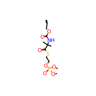 C=CCOC(=O)NC(C)(C)C(=O)SCCOP(=O)(OC)OC